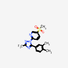 Cc1ccc(-c2nc(C(F)(F)F)nn2-c2ccc(S(C)(=O)=O)cn2)cc1C